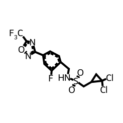 O=S(=O)(CC1CC1(Cl)Cl)NCc1ccc(-c2noc(C(F)(F)F)n2)cc1F